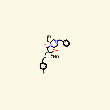 CC(C)C[C@H]1CN(Cc2ccccc2)CCN1C(=O)[C@H](CCCc1ccc(F)cc1)[C@H](O)C=O